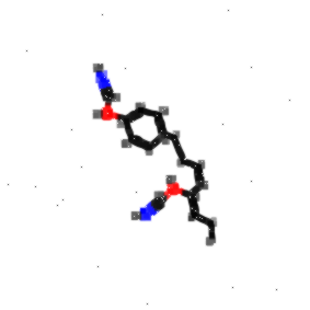 CC/C=C(\C=C/CCc1ccc(OC#N)cc1)OC#N